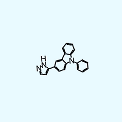 c1ccc(-n2c3ccccc3c3cc(-c4ccn[nH]4)ccc32)cc1